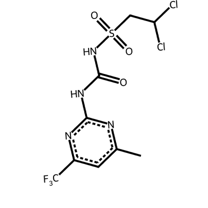 Cc1cc(C(F)(F)F)nc(NC(=O)NS(=O)(=O)CC(Cl)Cl)n1